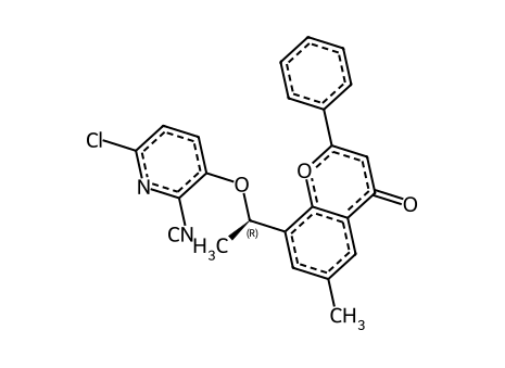 Cc1cc([C@@H](C)Oc2ccc(Cl)nc2C#N)c2oc(-c3ccccc3)cc(=O)c2c1